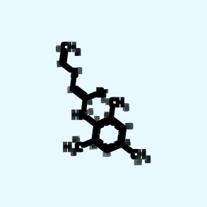 C=CS/C=C(\Br)Nc1c(C)cc(C)cc1C